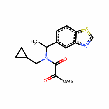 COC(=O)C(=O)N(CC1CC1)C(C)c1ccc2scnc2c1